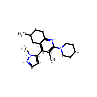 CC1CCc2nc(N3CCCCC3)c(C#N)c(-c3ccnn3C)c2C1